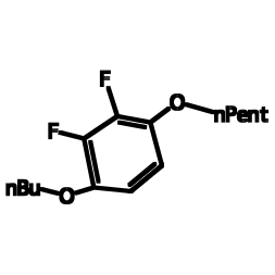 CCCCCOc1ccc(OCCCC)c(F)c1F